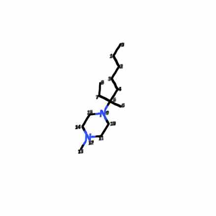 CCCCCC(C)(CC)N1CCN(C)CC1